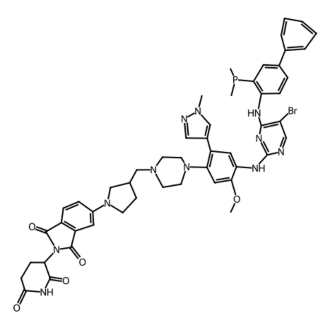 COc1cc(N2CCN(CC3CCN(c4ccc5c(c4)C(=O)N(C4CCC(=O)NC4=O)C5=O)C3)CC2)c(-c2cnn(C)c2)cc1Nc1ncc(Br)c(Nc2ccc(-c3ccccc3)cc2P(C)C)n1